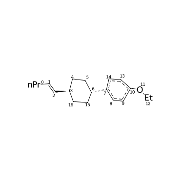 CCCC=C[C@H]1CC[C@H](c2ccc(OCC)cc2)CC1